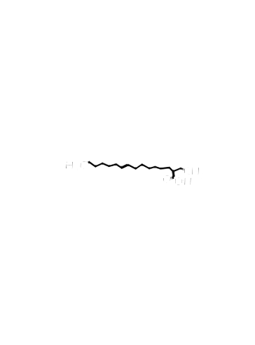 CCCCCCC=CCCCCCCC(CC)C(=O)O